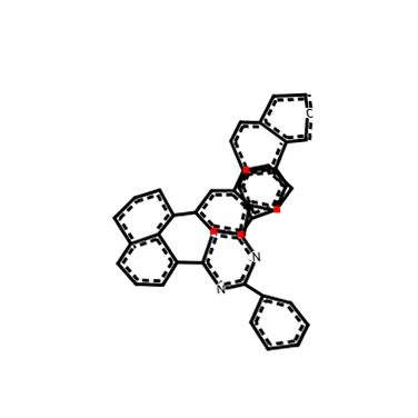 c1ccc(-c2nc(-c3ccccc3)nc(-c3cccc4cccc(-c5ccc6ccc7c8ccccc8ccc7c6c5)c34)n2)cc1